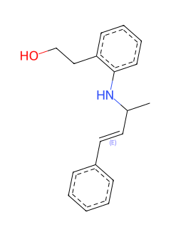 CC(/C=C/c1ccccc1)Nc1ccccc1CCO